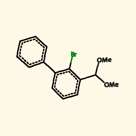 COC(OC)c1cccc(-c2ccccc2)c1Br